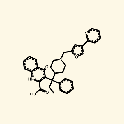 CCC(c1ccccc1)(c1c(C(=O)O)[nH]c2ccccc2c1=O)C1CCN(Cc2cc(-c3ccccn3)no2)CC1